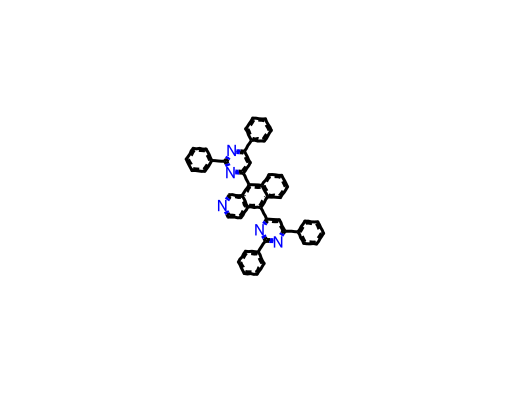 c1ccc(-c2cc(-c3c4ccccc4c(-c4cc(-c5ccccc5)nc(-c5ccccc5)n4)c4cnccc34)nc(-c3ccccc3)n2)cc1